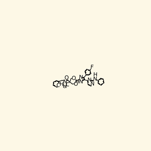 CC1(C(=O)NCc2ccccc2)COC(c2nc(-c3ccc(F)cc3)c(-c3ccnc(Nc4ccccc4)n3)[nH]2)OC1